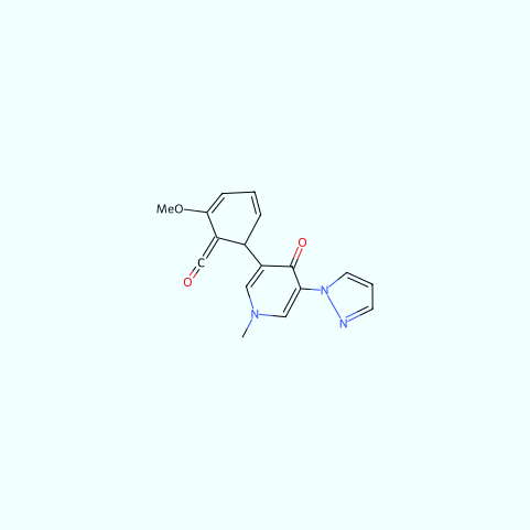 COC1=CC=CC(c2cn(C)cc(-n3cccn3)c2=O)C1=C=O